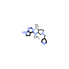 CC1CCN(Cc2ccncc2)CC1N(C)c1ncnc2[nH]ccc12